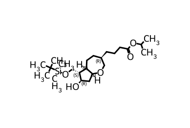 CC(C)OC(=O)CCC[C@@H]1CC[C@@H]2[C@@H](CO[Si](C)(C)C(C)(C)C)[C@H](O)C[C@@H]2OC1